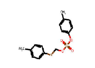 Cc1ccc(OS(=O)(=O)OCSc2ccc(C)cc2)cc1